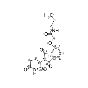 CCCNC(=O)COc1cccc2c1C(=O)N(C1CCC(=O)NC1=O)C2=O